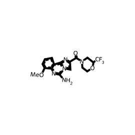 COc1cccc2c1nc(N)n1cc(C(=O)N3CCOC(C(F)(F)F)C3)nc21